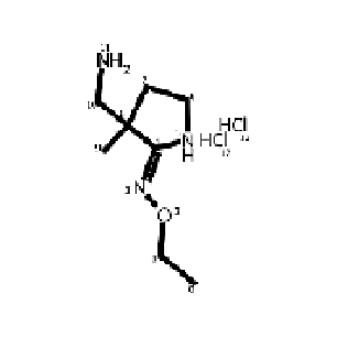 CCON=C1NCCC1(C)CN.Cl.Cl